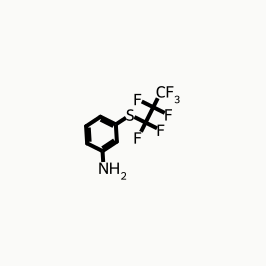 Nc1cccc(SC(F)(F)C(F)(F)C(F)(F)F)c1